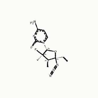 CC[C@@]1(N=[N+]=[N-])O[C@@H](n2ccc(N)nc2=O)[C@](C)(F)[C@@H]1C